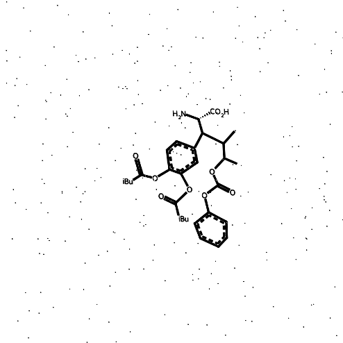 CCC(C)C(=O)Oc1ccc(C(C(C)C(C)OC(=O)Oc2ccccc2)[C@H](N)C(=O)O)cc1OC(=O)C(C)CC